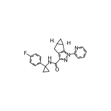 O=C(NC1(c2ccc(F)cc2)CC1)c1nn(-c2ccccn2)c2c1C[C@H]1C[C@@H]21